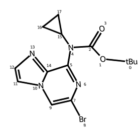 CC(C)(C)OC(=O)N(c1nc(Br)cn2ccnc12)C1CC1